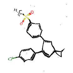 CS(=O)(=O)c1ccc(C2=CC3(C=C2c2ccc(Cl)cc2)CC3)cc1